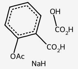 CC(=O)Oc1ccccc1C(=O)O.O=C(O)O.[NaH]